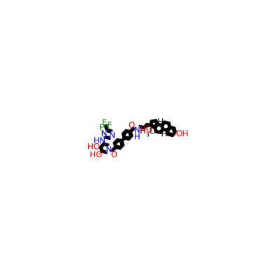 C[C@]12CC[C@@H]3c4ccc(O)cc4CC[C@H]3[C@@H]1CC[C@@]2(O)CCCNC(=O)c1ccc(-c2ccc(C(=O)N3C[C@H](Nc4cncc(C(F)(F)F)n4)[C@@H](O)[C@@H](O)C3)cc2)cc1